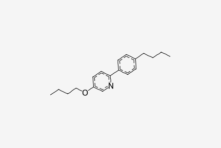 CCCCOc1ccc(-c2ccc(CCCC)cc2)nc1